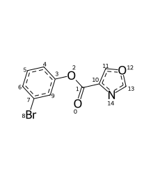 O=C(Oc1cccc(Br)c1)c1cocn1